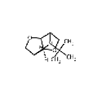 CC(C)(C)N1C2CO[C@@H]3C2OCC31